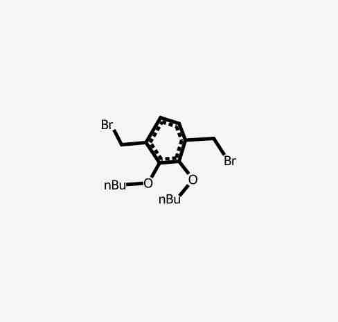 CCCCOc1c(CBr)ccc(CBr)c1OCCCC